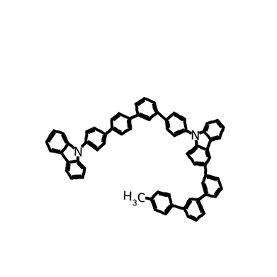 Cc1ccc(-c2cccc(-c3cccc(-c4ccc5c(c4)c4ccccc4n5-c4ccc(-c5cccc(-c6ccc(-c7ccc(-n8c9ccccc9c9ccccc98)cc7)cc6)c5)cc4)c3)c2)cc1